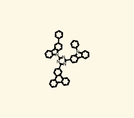 c1ccc(-c2ccc3c(c2)c2ccccc2n3-c2nc(-c3ccc4c5ccccc5c5ccccc5c4c3)nc(-c3ccc4c5ccccc5n(-c5ccccc5)c4c3)n2)cc1